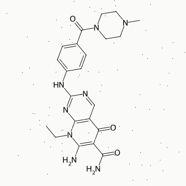 CCn1c(N)c(C(N)=O)c(=O)c2cnc(Nc3ccc(C(=O)N4CCN(C)CC4)cc3)nc21